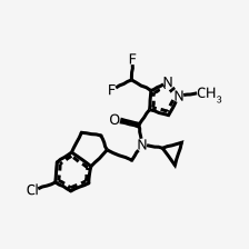 Cn1cc(C(=O)N(CC2CCc3cc(Cl)ccc32)C2CC2)c(C(F)F)n1